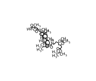 C=C(C)[C@@H]1CC[C@]2(C(=O)NCCC3CC(CC(=O)OC(C)(C)C)OC(C)(C)O3)CC[C@]3(C)[C@H](CC[C@@H]4[C@@]5(C)CC[C@H](OC(=O)CC(C)(C)C(=O)O)C(C)(C)[C@@H]5CC[C@]43C)[C@@H]12